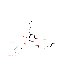 CCCCCCc1cc(O)c(C/C=C(\C)CCC=C(C)C)c(OC[C@H]2CO[C@H](O)[C@@H](O)[C@@H]2O)c1C(=O)O